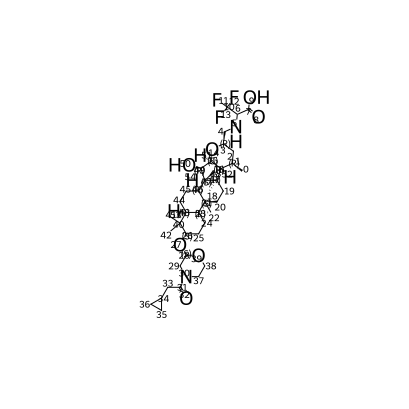 C[C@@H]1C[C@H](CNC(C(=O)O)C(F)(F)F)O[C@H]2[C@H]1[C@@]1(C)CC[C@@]34C[C@@]35CC[C@H](O[C@H]3CN(C(=O)CC6CC6)CCO3)C(C)(C)[C@@H]5CC[C@H]4[C@]1(C)[C@H]2O